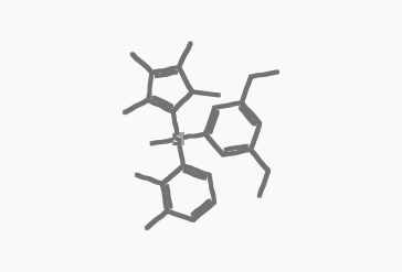 CCc1cc(CC)cc([Si](C)(C2=C(C)C(C)=C(C)C2C)c2cccc(C)c2C)c1